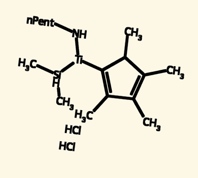 CCCCC[NH][Ti]([C]1=C(C)C(C)=C(C)C1C)[SiH](C)C.Cl.Cl